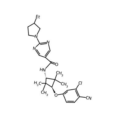 CCC1CCN(c2ncc(C(=O)N[C@H]3C(C)(C)[C@H](Oc4ccc(C#N)c(Cl)c4)C3(C)C)cn2)C1